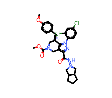 COC(=O)N1C/C(=C\c2ccc(OC)cc2)c2c(c(C(=O)NN3CC4CCCC4C3)nn2-c2ccc(Cl)cc2Cl)C1